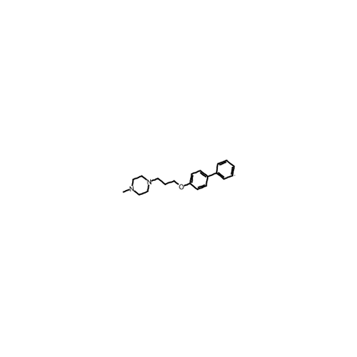 CN1CCN(CCCOc2ccc(-c3c[c]ccc3)cc2)CC1